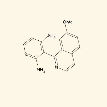 COc1ccc2ccnc(-c3c(N)ccnc3N)c2c1